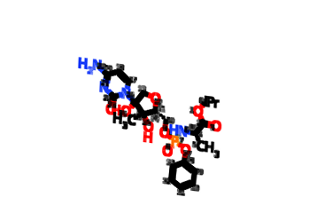 CC(C)OC(=O)[C@@H](C)NP(=O)(OC[C@H]1OCC(O)(n2ccc(N)nc2=O)[C@]1(C)O)Oc1ccccc1